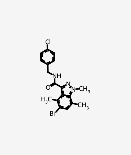 Cc1c(Br)cc(C)c2c1c(C(=O)NCc1ccc(Cl)cc1)nn2C